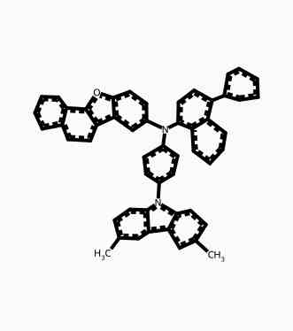 Cc1ccc2c(c1)c1cc(C)ccc1n2-c1ccc(N(c2ccc3oc4c5ccccc5ccc4c3c2)c2ccc(-c3ccccc3)c3ccccc23)cc1